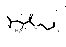 CC(C)C[C@H](N)C(=O)OCC[C@@H](C)O